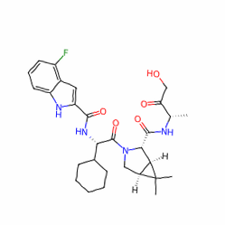 C[C@H](NC(=O)[C@@H]1[C@@H]2[C@H](CN1C(=O)[C@@H](NC(=O)c1cc3c(F)cccc3[nH]1)C1CCCCC1)C2(C)C)C(=O)CO